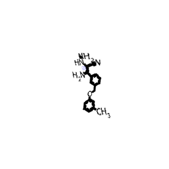 Cc1cccc(OCc2cccc(/C(N)=C(\C#N)NN)c2)c1